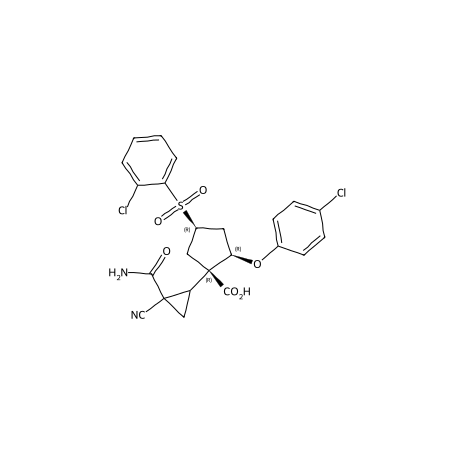 N#CC1(C(N)=O)CC1[C@]1(C(=O)O)C[C@@H](S(=O)(=O)c2ccccc2Cl)C[C@H]1Oc1ccc(Cl)cc1